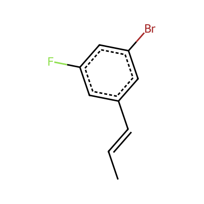 CC=Cc1cc(F)cc(Br)c1